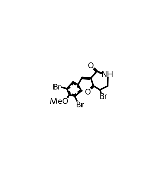 COc1c(Br)cc(/C=C2/C(=O)NCCC(Br)C2=O)cc1Br